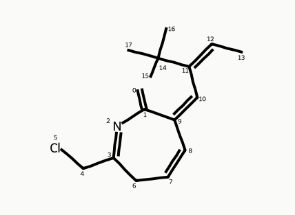 C=C1N=C(CCl)CC=C/C1=C/C(=C\C)C(C)(C)C